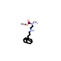 CN(CCNCCCC12CC3CC(CC(C3)C1)C2)C(=O)OC(C)(C)C